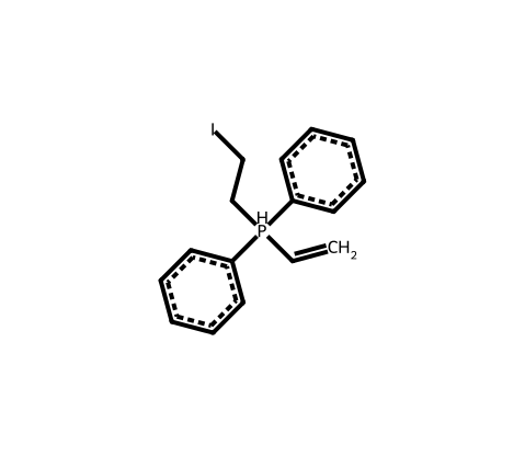 C=C[PH](CCI)(c1ccccc1)c1ccccc1